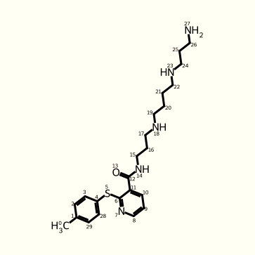 Cc1ccc(Sc2ncccc2C(=O)NCCCNCCCCNCCCN)cc1